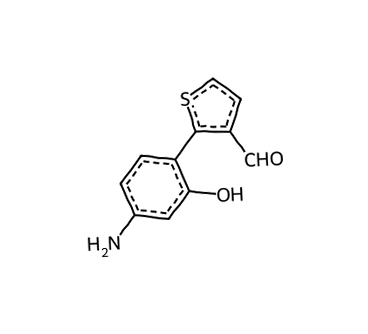 Nc1ccc(-c2sccc2C=O)c(O)c1